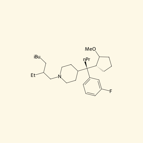 CCC[C@@](c1cccc(F)c1)(C1CCN(CC(CC)CC(C)CC)CC1)[C@H]1CCCC1OC